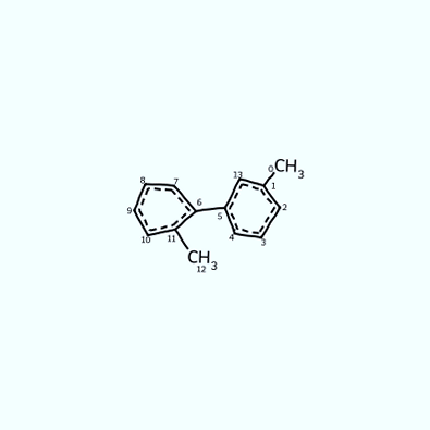 Cc1cc[c]c(-c2ccccc2C)c1